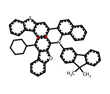 CC1(C)c2ccccc2-c2cc(N(c3c(-c4ccc5c(c4)sc4ccccc45)ccc4ccccc34)c3ccc(C4CCCCC4)c4c3oc3ccccc34)ccc21